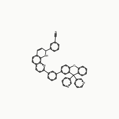 N#Cc1cccc(C2C=Cc3ccc4ccc(-c5cccc(-c6ccc7c(c6)C(c6cccnc6)(c6cccnc6)c6ccccc6O7)c5)nc4c3N2)c1